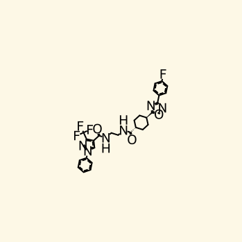 O=C(NCCNC(=O)[C@H]1CC[C@H](c2nc(-c3ccc(F)cc3)no2)CC1)c1cn(-c2ccccc2)nc1C(F)(F)F